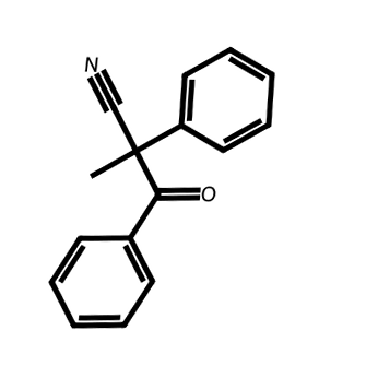 CC(C#N)(C(=O)c1ccccc1)c1ccccc1